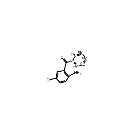 Nc1ccc(Cl)cc1C(=O)[13c]1[13cH][13cH][13cH][13cH][13cH]1